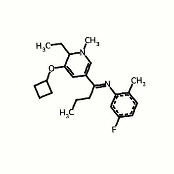 CCC/C(=N\c1cc(F)ccc1C)C1=CN(C)C(CC)C(OC2CCC2)=C1